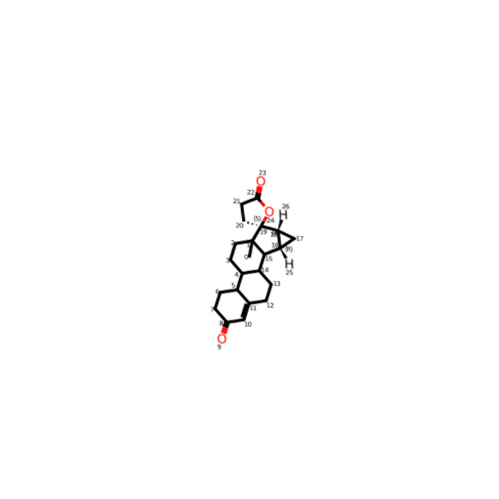 CC12CCC3C4CCC(=O)C=C4CCC3C1[C@H]1C[C@H]1[C@@]21CCC(=O)O1